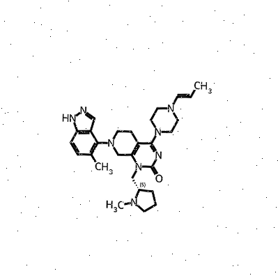 CC=CN1CCN(c2nc(=O)n(C[C@@H]3CCCN3C)c3c2CCN(c2c(C)ccc4[nH]ncc24)C3)CC1